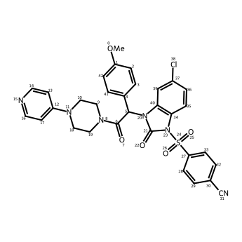 COc1ccc(C(C(=O)N2CCN(c3ccncc3)CC2)n2c(=O)n(S(=O)(=O)c3ccc(C#N)cc3)c3ccc(Cl)cc32)cc1